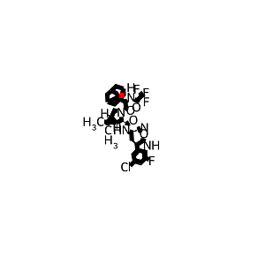 CC1(C)[C@@H]2[C@@H](C(=O)N[C@H](C#N)C[C@H]3C(=O)Nc4c(F)cc(Cl)cc43)N(C(=O)C(NC(=O)C(F)(F)F)C34CC5CC(CC(C5)C3)C4)C[C@@H]21